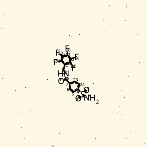 NS(=O)(=O)c1ccc(C(=O)NCc2c(F)c(F)c(F)c(F)c2F)cc1